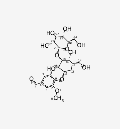 COc1cc(C=O)ccc1O[C@@H]1C[C@H](CO)[C@@H](O)[C@H](O[C@@H]2O[C@H](CO)[C@@H](O)[C@H](O)[C@H]2O)[C@H]1O